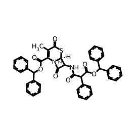 CC1=C(C(=O)OC(c2ccccc2)c2ccccc2)N2C(=O)C(NC(=O)C(C(=O)OC(c3ccccc3)c3ccccc3)c3ccccc3)[C@@H]2SC1=O